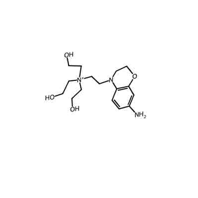 Nc1ccc2c(c1)OCCN2CC[N+](CCO)(CCO)CCO